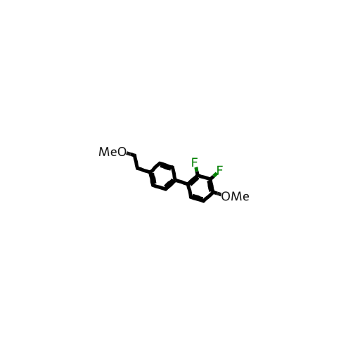 COCCc1ccc(-c2ccc(OC)c(F)c2F)cc1